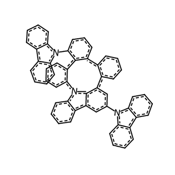 c1ccc2c(c1)c1cccc(-n3c4ccccc4c4ccccc43)c1c1ccccc1n1c3ccccc3c3cc(-n4c5ccccc5c5ccccc54)cc2c31